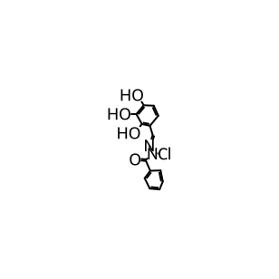 O=C(c1ccccc1)N(Cl)N=Cc1ccc(O)c(O)c1O